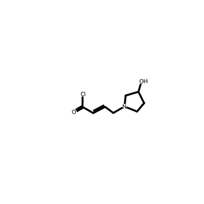 O=C(Cl)C=CCN1CCC(O)C1